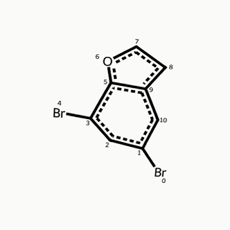 Brc1cc(Br)c2occc2c1